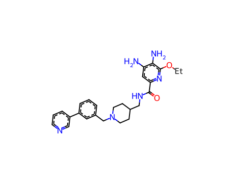 CCOc1nc(C(=O)NCC2CCN(Cc3cccc(-c4cccnc4)c3)CC2)cc(N)c1N